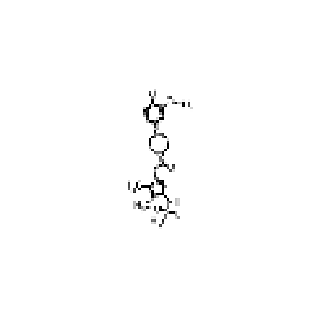 COc1cc(N2CCN(C(=O)Cn3nc(NS(C)(=O)=O)c(C)c3C)CC2)ccc1Cl